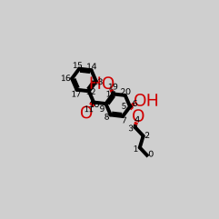 CCCCOC1(O)C=CC(C(=O)c2ccccc2)=C(O)C1